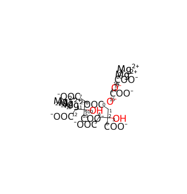 O=C([O-])CC(O)(CC(=O)[O-])C(=O)[O-].O=C([O-])CC(O)(CC(=O)[O-])C(=O)[O-].O=C([O-])[O-].O=C([O-])[O-].[Mg+2].[Mg+2].[Mg+2].[Mg+2].[Mg+2]